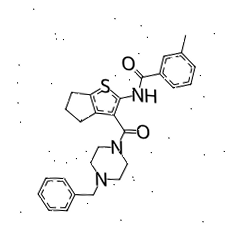 Cc1cccc(C(=O)Nc2sc3c(c2C(=O)N2CCN(Cc4ccccc4)CC2)CCC3)c1